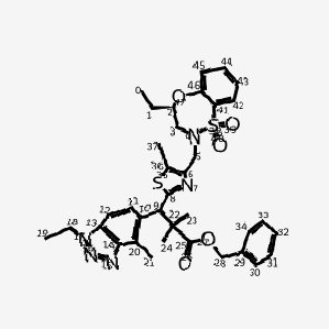 CC[C@@H]1CN(Cc2nc(C(c3ccc4c(nnn4CC)c3C)C(C)(C)C(=O)OCc3ccccc3)sc2C)S(=O)(=O)c2ccccc2O1